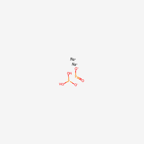 O=P[O-].[Na+].[Na+].[O-]P(O)O